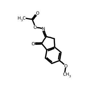 COc1ccc2c(c1)C/C(=N/OC(C)=O)C2=O